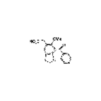 COc1c(CC(=O)O)cc2c(c1C(=O)c1ccccc1)OCC2